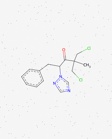 CC(CCl)(CCl)C(=O)C(Cc1ccccc1)n1cncn1